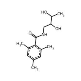 Cc1cc(C)c(C(=O)NCC(O)C(C)O)c(C)c1